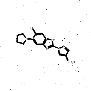 O=C(O)c1cnn(-c2nc3cc(N4CCCC4)c(Cl)cc3[nH]2)c1